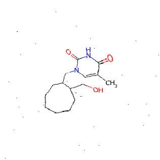 Cc1cn(CC2CCCCCCC2CO)c(=O)[nH]c1=O